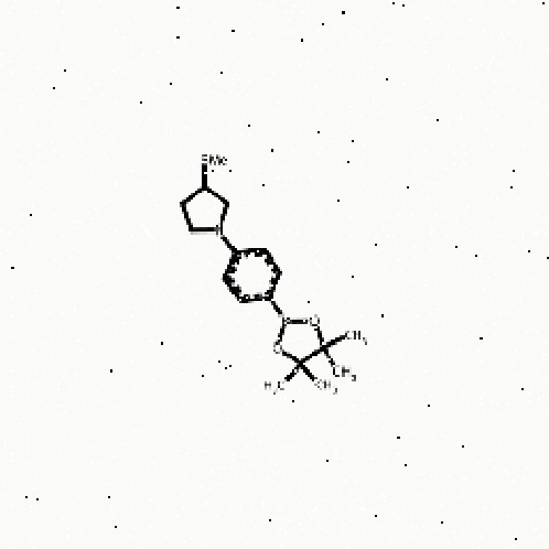 CSC1CCN(c2ccc(B3OC(C)(C)C(C)(C)O3)cc2)C1